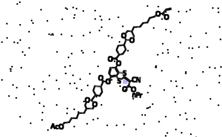 C=CC(=O)OCCCCCCC1COC(C2CCC(C(=O)Oc3ccc(OC(=O)C4CCC(C5OCC(CCCCCCOC(C)=O)CO5)CC4)c4c3S/C(=C(\C#N)C(=O)OCCC)S4)CC2)OC1